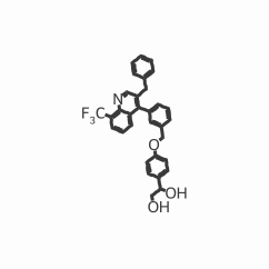 OCC(O)c1ccc(OCc2cccc(-c3c(Cc4ccccc4)cnc4c(C(F)(F)F)cccc34)c2)cc1